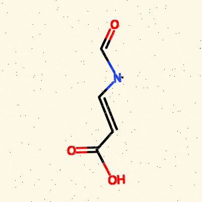 O=C[N]C=CC(=O)O